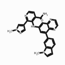 Cn1cc(-c2nccc(C(N)=O)c2Nc2cc(-c3ccc4ccn(C)c4c3)c3nccnc3c2)cn1